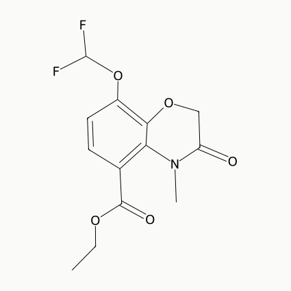 CCOC(=O)c1ccc(OC(F)F)c2c1N(C)C(=O)CO2